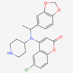 CC(c1ccc2c(c1)OCO2)N(c1cc(=O)oc2ccc(Cl)cc12)C1CCNCC1